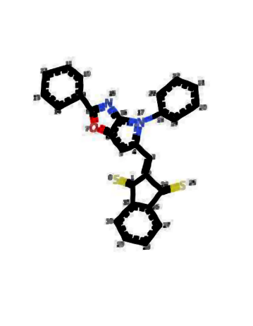 S=C1C(=Cc2cc3oc(-c4ccccc4)nc3n2-c2ccccc2)C(=S)c2ccccc21